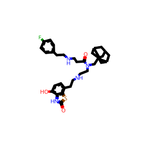 O=C(CCNCCc1ccc(F)cc1)N(CCNCCc1ccc(O)c2[nH]c(=O)sc12)CC12CC3CC(CC(C3)C1)C2